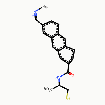 CC(C)(C)/N=C\c1ccc2cc3ccc(C(=O)NC(CS)C(=O)O)cc3cc2c1